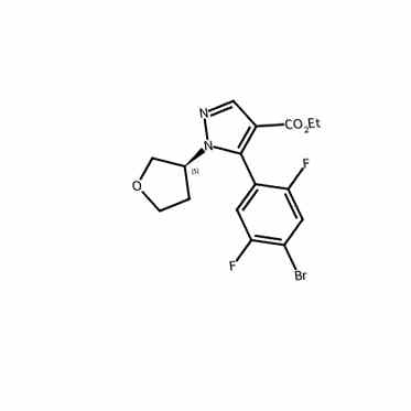 CCOC(=O)c1cnn([C@H]2CCOC2)c1-c1cc(F)c(Br)cc1F